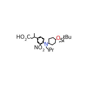 CC(C)CN(c1ccc(C(C)CC(=O)O)cc1[N+](=O)[O-])C1CCC(O[Si](C)(C)C(C)(C)C)CC1